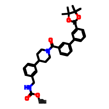 CC(C)(C)OC(=O)NCc1cccc(C2CCN(C(=O)c3cccc(-c4cccc(B5OC(C)(C)C(C)(C)O5)c4)c3)CC2)c1